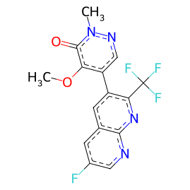 COc1c(-c2cc3cc(F)cnc3nc2C(F)(F)F)cnn(C)c1=O